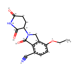 CCOc1ccc(C#N)c2c1CN(C1CCC(=O)NC1=O)C2=O